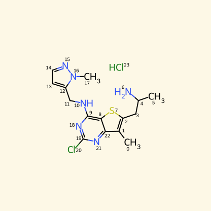 Cc1c(CC(C)N)sc2c(NCc3ccnn3C)nc(Cl)nc12.Cl